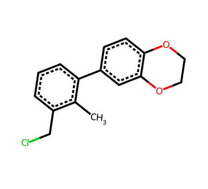 Cc1c(CCl)cccc1-c1ccc2c(c1)OCCO2